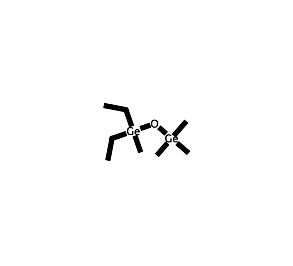 C[CH2][Ge]([CH3])([CH2]C)[O][Ge]([CH3])([CH3])[CH3]